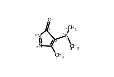 CC1=C(N(C)C)C(=O)N=N1